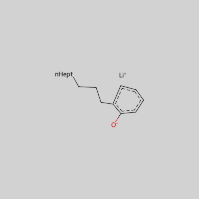 CCCCCCCCCCc1ccccc1[O-].[Li+]